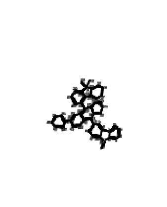 Cn1c2ccccc2c2cc(-c3c4ccccc4c(-c4cccc5c4-c4ccccc4C5(C)C)c4cc(-c5ccccc5)ccc34)ccc21